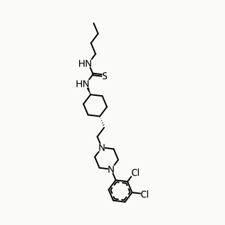 CCCCNC(=S)N[C@H]1CC[C@H](CCN2CCN(c3cccc(Cl)c3Cl)CC2)CC1